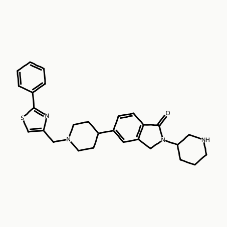 O=C1c2ccc(C3CCN(Cc4csc(-c5ccccc5)n4)CC3)cc2CN1C1CCCNC1